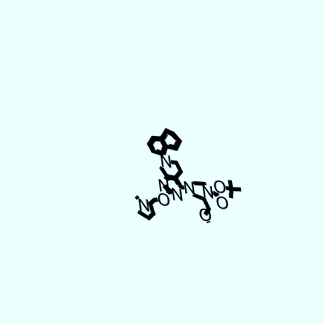 COCC1CN(c2nc(OCC3CCCN3C)nc3c2CCN(c2cccc4ccccc24)C3)CCN1C(=O)OC(C)(C)C